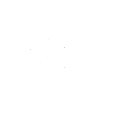 O=[N+]([O-])c1cc2c(nc1Br)CCNCC2